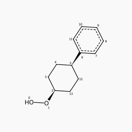 OO[C@H]1CC[C@@H](c2ccccc2)CC1